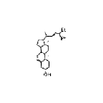 CCC(/C=C/C(C)C1CCC2C3CC=C4C[C@@H](O)CC[C@]4(C)C3CC[C@]12C)C(C)C